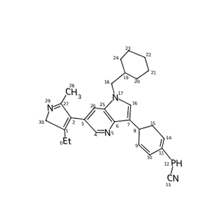 CCC1=C(c2cnc3c(C4C=CC(PC#N)=CC4)cn(CC4CCCCC4)c3c2)C(C)=NC1